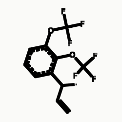 [CH2]C(C=C)c1cccc(OC(F)(F)F)c1OC(F)(F)F